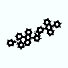 C1=CC(c2c3ccccc3c(-c3cccc4c3oc3ccc(-c5c6ccccc6c(-c6ccccc6)c6ccccc56)cc34)c3ccccc23)C2C(=C1)N(c1ccccc1)c1ccccc12